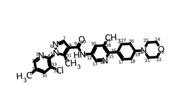 Cc1cnc(-n2ncc(C(=O)Nc3cnc(C4=CCC(N5CCOCC5)CC4)c(C)c3)c2C)c(Cl)c1